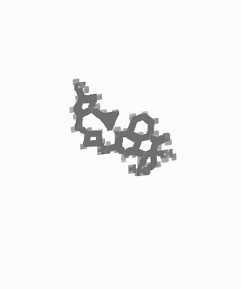 CN1c2nc(N[C@H]3C[C@H](Oc4cc(C(F)(F)F)nn4C4CC4)C3)nc3c2N(CCC3)C(=O)[C@]1(C)CO